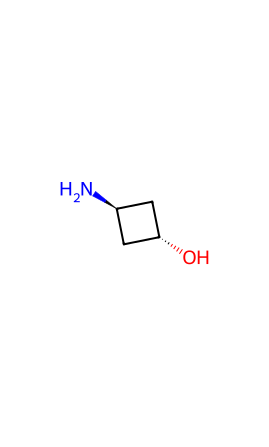 N[C@H]1C[C@H](O)C1